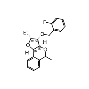 CC[C@H]1O[C@@H]2c3ccccc3C(C)O[C@@H]2[C@H]1OCc1ccccc1F